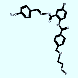 CCSCCNCc1ccc(C(=O)Nc2ccc(Br)cc2C(=O)NN=Cc2ccc(OC)cc2)cc1